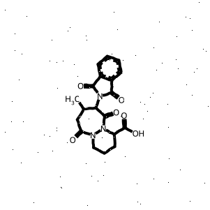 CC1CC(=O)N2CCCC(C(=O)O)N2C(=O)C1N1C(=O)c2ccccc2C1=O